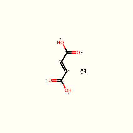 O=C(O)C=CC(=O)O.[Ag]